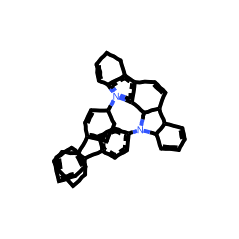 C1=CCCC(C2=CCC(n3c4c(c5c3C3C(C=C5)C5C=CC=CC5N3c3ccc(C5CC=CCC5)cc3)CCC=C4)C=C2)=C1